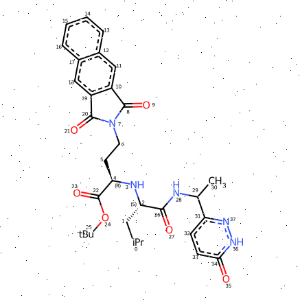 CC(C)C[C@H](N[C@H](CCN1C(=O)c2cc3ccccc3cc2C1=O)C(=O)OC(C)(C)C)C(=O)NC(C)c1ccc(=O)[nH]n1